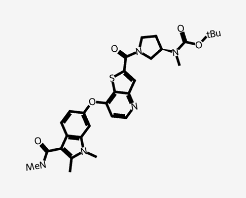 CNC(=O)c1c(C)n(C)c2cc(Oc3ccnc4cc(C(=O)N5CC[C@@H](N(C)C(=O)OC(C)(C)C)C5)sc34)ccc12